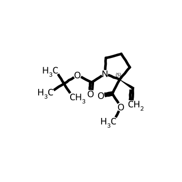 C=C[C@]1(C(=O)OC)CCCN1C(=O)OC(C)(C)C